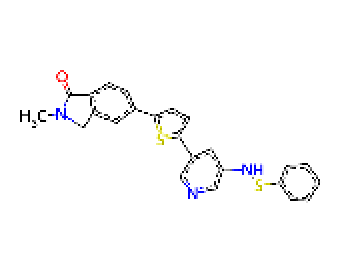 CN1Cc2cc(-c3ccc(-c4cncc(NSc5ccccc5)c4)s3)ccc2C1=O